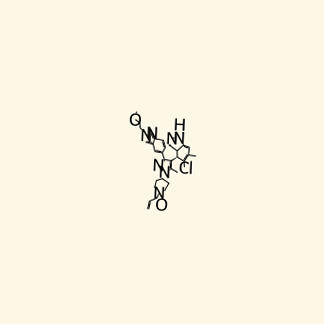 C=CC(=O)N1CCC(n2nc(-c3ccc4nn(CCOC)cc4c3)c([C@@H]3C(Cl)=C(C)C=C4NN=CC43)c2C)CC1